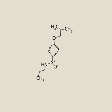 CCCN[S+]([O-])c1ccc(OCC(C)C)cc1